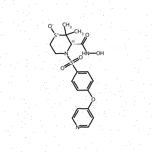 CC1(C)[C@H](C(=O)NO)N(S(=O)(=O)c2ccc(Oc3ccncc3)cc2)CC[S+]1[O-]